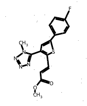 COC(=O)C=Cc1sc(-c2ccc(F)cc2)cc1-c1nnnn1C